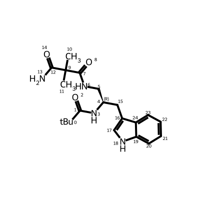 CC(C)(C)C(=O)N[C@@H](CNC(=O)C(C)(C)C(N)=O)Cc1c[nH]c2ccccc12